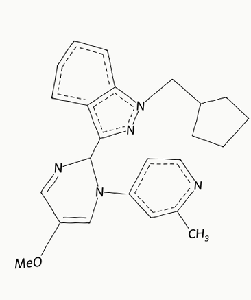 COC1=CN(c2ccnc(C)c2)C(c2nn(CC3CCCC3)c3ccccc23)N=C1